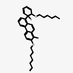 CCCCCCCOc1ccc2c(ccc3c(C4(F)C=CC=CC4OCCCCCC)cccc32)c1F